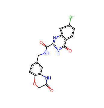 O=C1COc2ccc(CNC(=O)c3nc4cc(Br)ccc4c(=O)[nH]3)cc2N1